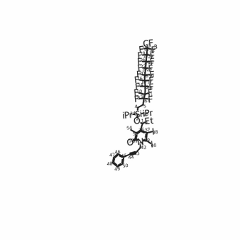 CCC(O[Si](CCC(F)(F)C(F)(F)C(F)(F)C(F)(F)C(F)(F)C(F)(F)C(F)(F)C(F)(F)C(F)(F)C(F)(F)F)(C(C)C)C(C)C)c1c(I)c(I)n(CC#Cc2ccccc2)c(=O)c1C